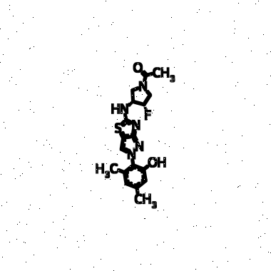 CC(=O)N1C[C@H](Nc2nc3nn(-c4c(C)cc(C)cc4O)cc3s2)[C@@H](F)C1